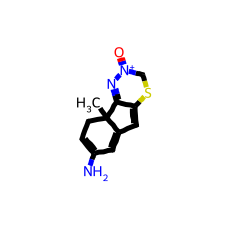 CC12CC=C(N)C=C1C=C1SC[N+](=O)N=C12